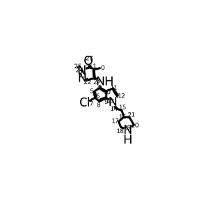 Cc1c(Nc2cc(Cl)cc3c2ccn3CCC2CCNCC2)cnn(C)c1=O